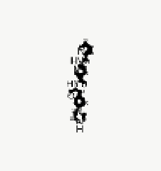 O=C(N[C@H]1COc2cc(N3CCNCC3)ccc2C1)c1ccc(NCc2ccccn2)nc1